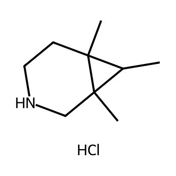 CC1C2(C)CCNCC12C.Cl